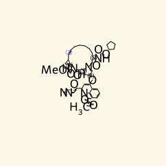 COC(=O)[C@@]12CC1/C=C\CCCCC[C@H](NC(=O)OC1CCCC1)C(=O)N1C[C@H](Oc3cc(C(=O)C=[N+]=[N-])nc4c(S(C)(=O)=O)cccc34)C[C@H]1C(=O)N2